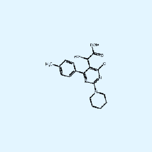 CCCC(C(=O)OC)c1c(Cl)nc(N2CCCCC2)nc1-c1ccc(C)cc1